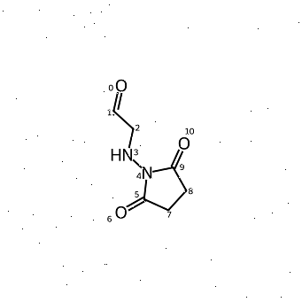 O=[C]CNN1C(=O)CCC1=O